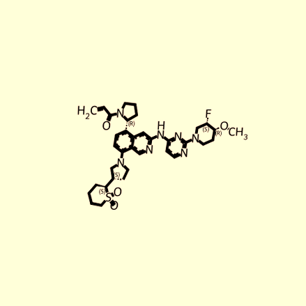 C=CC(=O)N1CCC[C@@H]1c1ccc(N2CC[C@H]([C@@H]3CCCCS3(=O)=O)C2)c2cnc(Nc3ccnc(N4CC[C@@H](OC)[C@@H](F)C4)n3)cc12